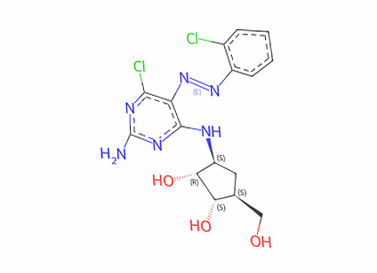 Nc1nc(Cl)c(/N=N/c2ccccc2Cl)c(N[C@H]2C[C@@H](CO)[C@H](O)[C@@H]2O)n1